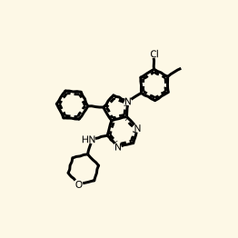 Cc1ccc(-n2cc(-c3ccccc3)c3c(NC4CCOCC4)ncnc32)cc1Cl